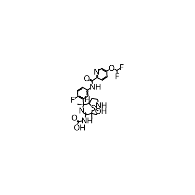 CC1(C)C(NC(=O)O)=N[C@](C)(c2cc(NC(=O)c3ccc(OC(F)F)cn3)ccc2F)[C@@H]2CCN[S@@]21O